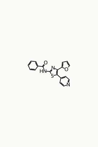 O=C(Nc1nc(-c2ccco2)c(-c2ccncc2)s1)c1ccccc1